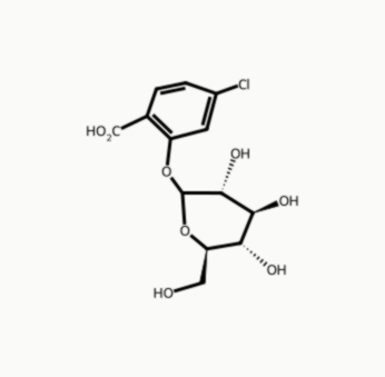 O=C(O)c1ccc(Cl)cc1OC1O[C@H](CO)[C@@H](O)[C@H](O)[C@H]1O